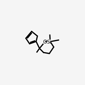 CC1(C2=CC=CC2)CCC[Si](C)(C)O1